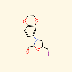 O=CC1O[C@H](CI)CN1c1ccc2c(c1)OCCO2